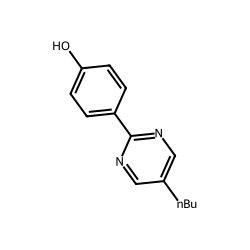 CCCCc1cnc(-c2ccc(O)cc2)nc1